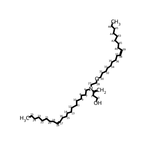 C=C(CCO)N(CCCCCCCCCCC/C=C\CCCCCCCC)CCOCCCCCCCC/C=C\CCCCCCCC